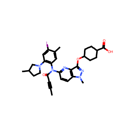 CC#CC(=O)N(c1ccc2c(n1)c(OC1CCC(C(=O)O)CC1)nn2C)c1cc(C)c(I)cc1N1CCC(C)C1